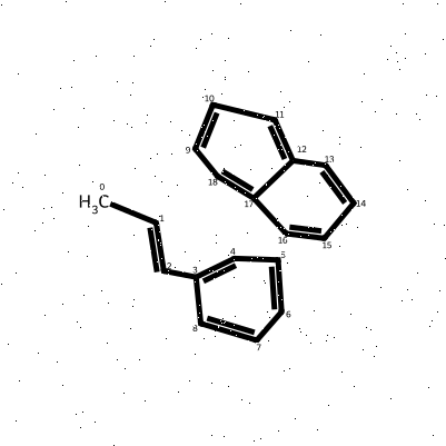 CC=Cc1ccccc1.c1ccc2ccccc2c1